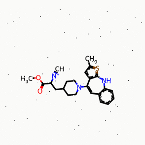 C#[N+]C(CC1CCN(C2=Cc3ccccc3Nc3sc(C)cc32)CC1)C(=O)OC